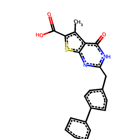 Cc1c(C(=O)O)sc2nc(Cc3ccc(-c4ccccc4)cc3)[nH]c(=O)c12